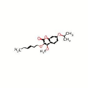 CC/C=C/CCOc1c(OC)c2ccc(OC(C)C)cc2oc1=O